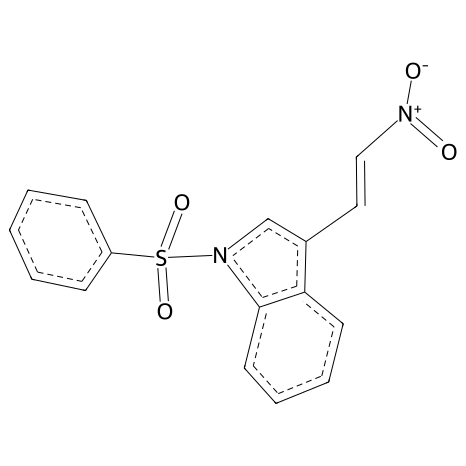 O=[N+]([O-])C=Cc1cn(S(=O)(=O)c2ccccc2)c2ccccc12